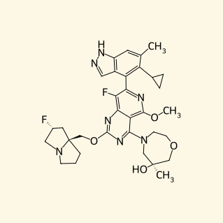 COc1nc(-c2c(C3CC3)c(C)cc3[nH]ncc23)c(F)c2nc(OC[C@@]34CCCN3C[C@H](F)C4)nc(N3CCOC[C@@](C)(O)C3)c12